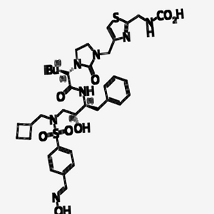 CC[C@H](C)[C@@H](C(=O)N[C@@H](Cc1ccccc1)[C@H](O)CN(CC1CCC1)S(=O)(=O)c1ccc(C=NO)cc1)N1CCN(Cc2csc(CNC(=O)O)n2)C1=O